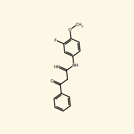 COc1ccc(NC(=N)CC(=O)c2ccccc2)cc1F